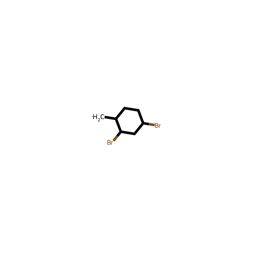 [CH2]C1CCC(Br)CC1Br